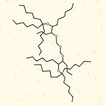 CCCCCCC(OC(CCCCCC)(CCCCCC)CCCCCC)C(CCC)OCOCOC(CCC)C(CCCCCC)OC(CCCCCC)(CCCCCC)CCCCCC